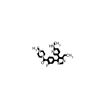 CCc1ncnc(-c2ccc(C(=O)N3CCN(C)CC3)c(F)c2)c1-c1ccc(NC)nc1